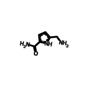 NCc1ccc(C(N)=O)[nH]1